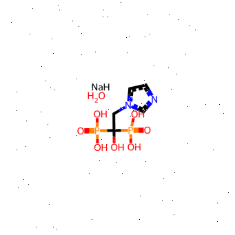 O.O=P(O)(O)C(O)(Cn1ccnc1)P(=O)(O)O.[NaH]